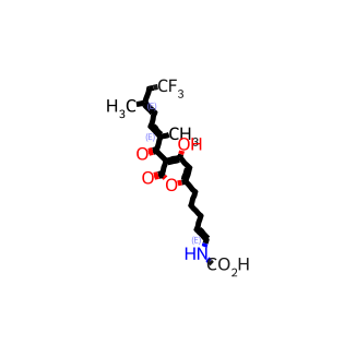 C/C(=C\C=C(/C)C(=O)c1c(O)cc(CCC/C=C/NC(=O)O)oc1=O)CC(F)(F)F